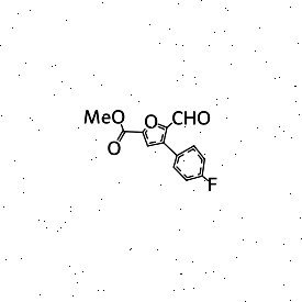 COC(=O)c1cc(-c2ccc(F)cc2)c(C=O)o1